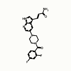 NC(=O)C=Cc1c[nH]c2ncc(N3CCN(C(=O)c4ccc(F)cc4F)CC3)cc12